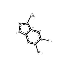 Cc1noc2cc(N)c(F)cc12